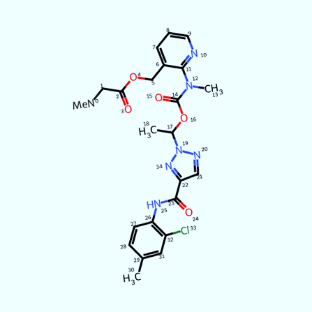 CNCC(=O)OCc1cccnc1N(C)C(=O)OC(C)n1ncc(C(=O)Nc2ccc(C)cc2Cl)n1